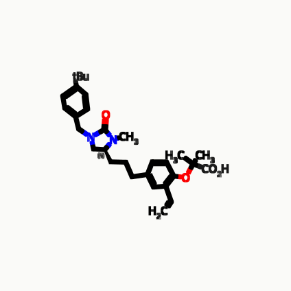 C=Cc1cc(CCC[C@H]2CN(Cc3ccc(C(C)(C)C)cc3)C(=O)N2C)ccc1OC(C)(C)C(=O)O